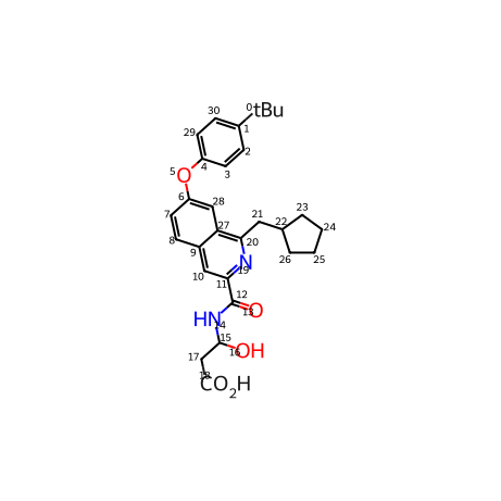 CC(C)(C)c1ccc(Oc2ccc3cc(C(=O)NC(O)CC(=O)O)nc(CC4CCCC4)c3c2)cc1